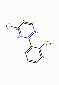 CCOC(=O)c1ccccc1-c1nccc(C)n1